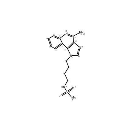 CCCCS(=O)(=O)NCCCCn1cnc2c(N)nc3ccccc3c21